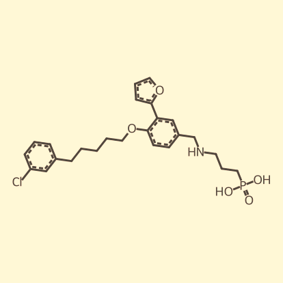 O=P(O)(O)CCCNCc1ccc(OCCCCCc2cccc(Cl)c2)c(-c2ccco2)c1